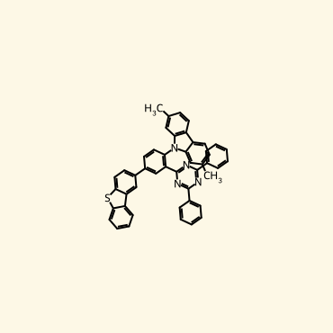 Cc1ccc2c3ccc(C)cc3n(-c3ccc(-c4ccc5sc6ccccc6c5c4)cc3-c3nc(-c4ccccc4)nc(-c4ccccc4)n3)c2c1